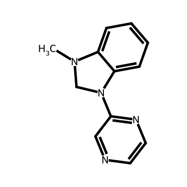 CN1CN(c2cnccn2)c2ccccc21